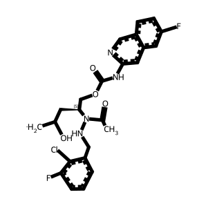 [CH2]C(O)C[C@@H](COC(=O)Nc1cc2cc(F)ccc2cn1)N(NCc1cccc(F)c1Cl)C(C)=O